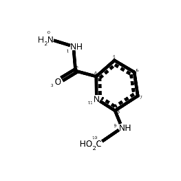 NNC(=O)c1cccc(NC(=O)O)n1